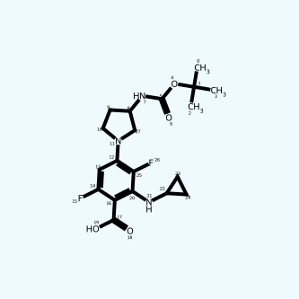 CC(C)(C)OC(=O)NC1CCN(c2cc(F)c(C(=O)O)c(NC3CC3)c2F)C1